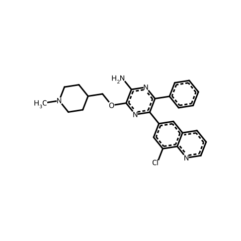 CN1CCC(COc2nc(-c3cc(Cl)c4ncccc4c3)c(-c3ccccc3)nc2N)CC1